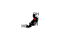 OC1CN(Cc2ccc3c(-c4cc[nH]c4-c4cccc(-c5cccc(-c6[nH]ccc6-c6nsc7cc(CN8CC(O)C8)ccc67)c5Cl)c4Cl)nsc3c2)C1